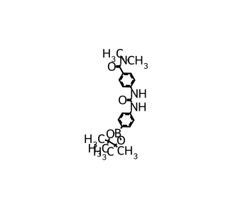 CN(C)C(=O)c1ccc(NC(=O)Nc2ccc(B3OC(C)(C)C(C)(C)O3)cc2)cc1